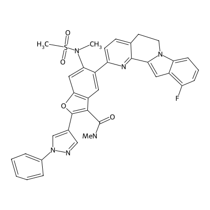 CNC(=O)c1c(-c2cnn(-c3ccccc3)c2)oc2cc(N(C)S(C)(=O)=O)c(-c3ccc4c(n3)-c3cc5c(F)cccc5n3CC4)cc12